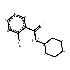 O=C(NC1CCCCC1)c1cnccc1Cl